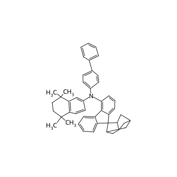 CC1(C)CCC(C)(C)c2cc(N(c3ccc(-c4ccccc4)cc3)c3cccc4c3-c3ccccc3C43C4CC5CC(C4)C3C5)ccc21